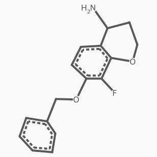 NC1CCOc2c1ccc(OCc1ccccc1)c2F